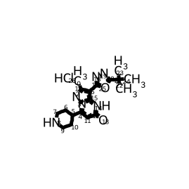 Cc1nn2c(C3CCNCC3)cc(=O)[nH]c2c1-c1nnc(C(C)(C)C)o1.Cl